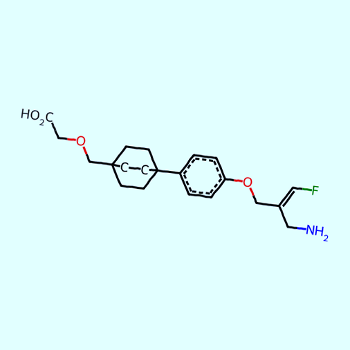 NCC(=CF)COc1ccc(C23CCC(COCC(=O)O)(CC2)CC3)cc1